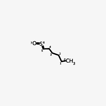 CCCCCC=S=O